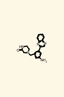 Nc1cc(CN2CCNC(=O)C2)cc(-c2cnc3ccccc3n2)c1